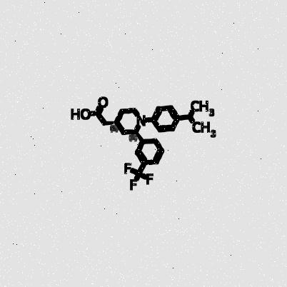 CC(C)c1ccc(N2CC[C@H](CC(=O)O)C[C@@H]2C2C=C(C(F)(F)F)C=CC2)cc1